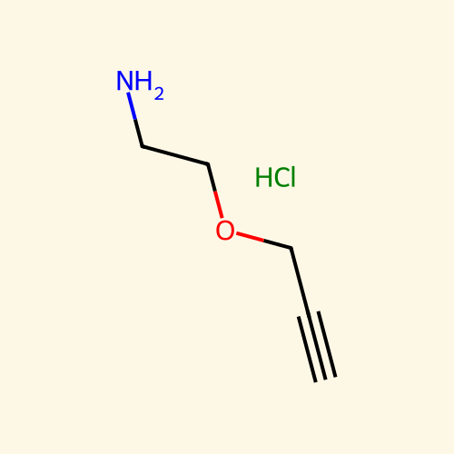 C#CCOCCN.Cl